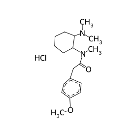 COc1ccc(CC(=O)N(C)C2CCCCC2N(C)C)cc1.Cl